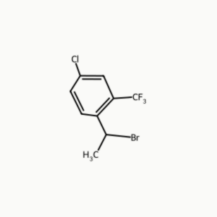 CC(Br)c1ccc(Cl)cc1C(F)(F)F